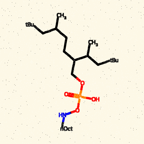 CCCCCCCCNOP(=O)(O)OCC(CCC(C)CC(C)(C)C)C(C)CC(C)(C)C